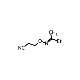 CCC(C)=NOCCC#N